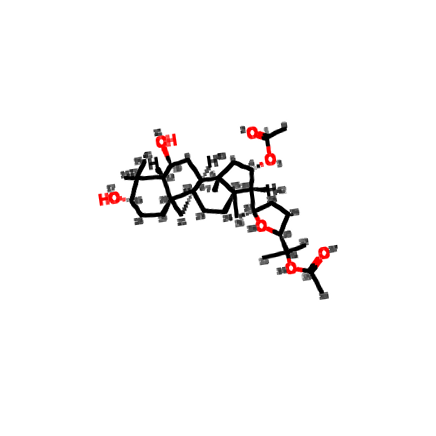 CC(=O)O[C@H]1C[C@@]2(C)[C@@H]3C[C@H](O)[C@H]4C(C)(C)[C@@H](O)CC[C@@]45C[C@@]35CC[C@@]23C[C@@]2(CC[C@@H](C(C)(C)OC(C)=O)O2)[C@@H]13